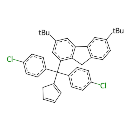 CC(C)(C)c1ccc2c(c1)-c1cc(C(C)(C)C)cc(C(C3=CC=CC3)(c3ccc(Cl)cc3)c3ccc(Cl)cc3)c1C2